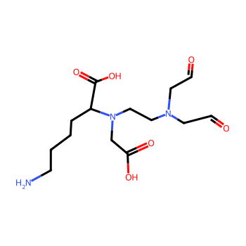 NCCCCC(C(=O)O)N(CCN(CC=O)CC=O)CC(=O)O